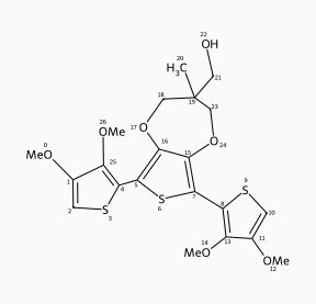 COc1csc(-c2sc(-c3scc(OC)c3OC)c3c2OCC(C)(CO)CO3)c1OC